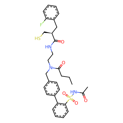 CCCC(=O)N(CCNC(=O)[C@@H](CS)Cc1ccccc1F)Cc1ccc(-c2ccccc2S(=O)(=O)NC(C)=O)cc1